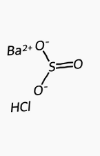 Cl.O=S([O-])[O-].[Ba+2]